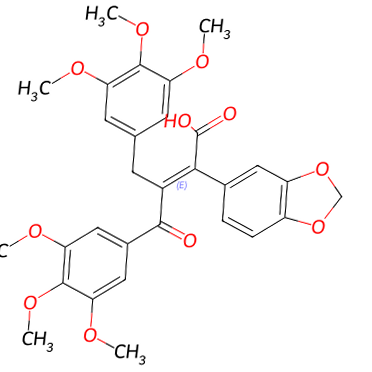 COc1cc(C/C(C(=O)c2cc(OC)c(OC)c(OC)c2)=C(\C(=O)O)c2ccc3c(c2)OCO3)cc(OC)c1OC